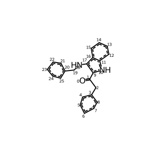 O=C(Cc1ccccc1)c1[nH]c2ccccc2c1NCc1ccccc1